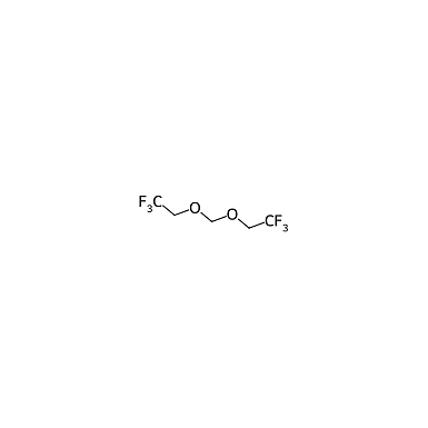 FC(F)(F)COCOCC(F)(F)F